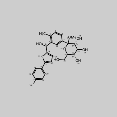 COC1(c2ccc(C)c(C(O)c3ccc(-c4ccc(F)cc4)s3)c2)OC(CO)[C@@H](O)C(O)[C@H]1O